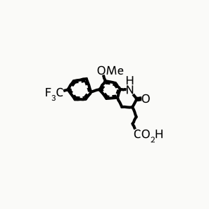 COc1cc2c(cc1-c1ccc(C(F)(F)F)cc1)CC(CCC(=O)O)C(=O)N2